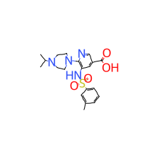 Cc1cccc(S(=O)(=O)Nc2cc(C(=O)O)cnc2N2CCN(C(C)C)CC2)c1